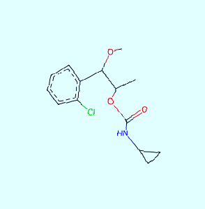 COC(c1ccccc1Cl)C(C)OC(=O)NC1CC1